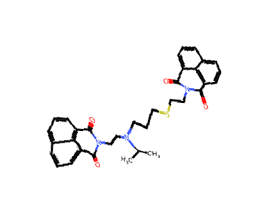 CC(C)N(CCCSCCN1C(=O)c2cccc3cccc(c23)C1=O)CCN1C(=O)c2cccc3cccc(c23)C1=O